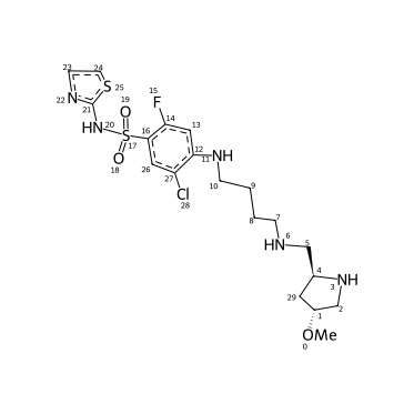 CO[C@H]1CN[C@H](CNCCCCNc2cc(F)c(S(=O)(=O)Nc3nccs3)cc2Cl)C1